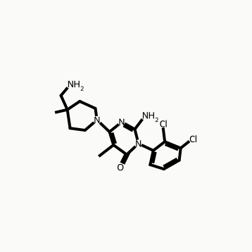 Cc1c(N2CCC(C)(CN)CC2)nc(N)n(-c2cccc(Cl)c2Cl)c1=O